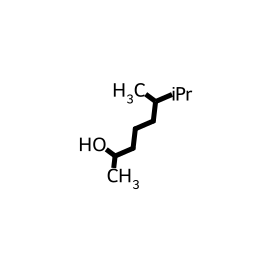 CC(O)CCCC(C)C(C)C